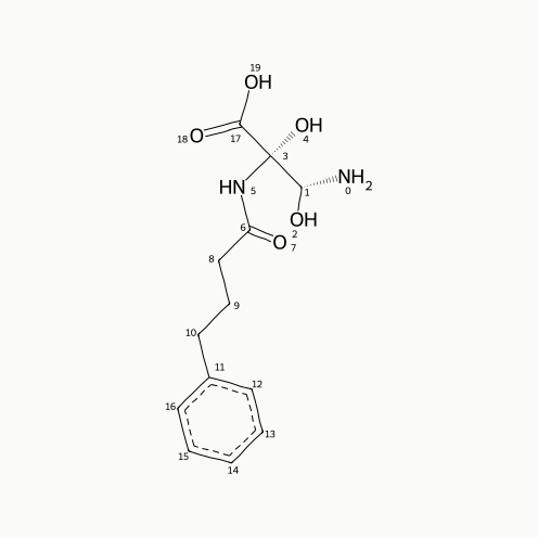 N[C@H](O)[C@@](O)(NC(=O)CCCc1ccccc1)C(=O)O